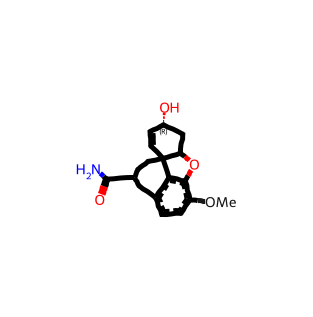 COc1ccc2c3c1OC1C[C@@H](O)C=CC31CCC(C(N)=O)C2